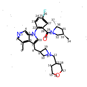 Cc1cncc2c1c(CC1CN(CC3CCOCC3)C1)cn2-c1ccc(F)cc1C(=O)N1C[C@H](C)C[C@H]1C